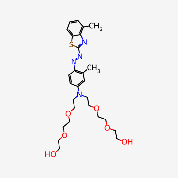 Cc1cc(N(CCOCCOCCO)CCOCCOCCO)ccc1/N=N/c1nc2c(C)cccc2s1